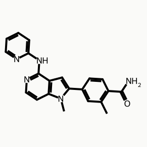 Cc1cc(-c2cc3c(Nc4ccccn4)nccc3n2C)ccc1C(N)=O